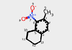 Cc1ccc2c(c1[N+](=O)[O-])CCCC2